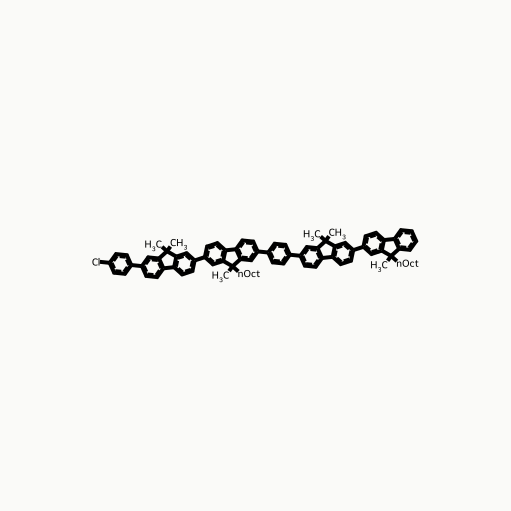 CCCCCCCCC1(C)c2ccccc2-c2ccc(-c3ccc4c(c3)C(C)(C)c3cc(-c5ccc(-c6ccc7c(c6)C(C)(CCCCCCCC)c6cc(-c8ccc9c(c8)C(C)(C)c8cc(-c%10ccc(Cl)cc%10)ccc8-9)ccc6-7)cc5)ccc3-4)cc21